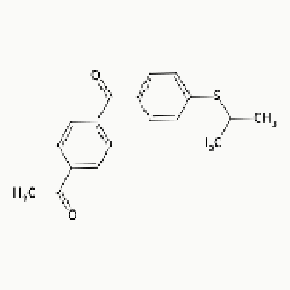 CC(=O)c1ccc(C(=O)c2ccc(SC(C)C)cc2)cc1